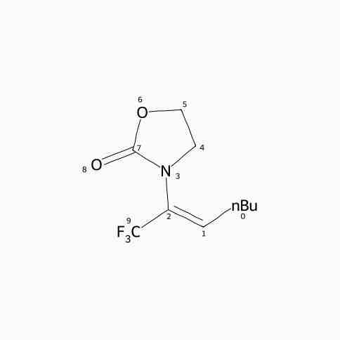 CCCC/C=C(\N1CCOC1=O)C(F)(F)F